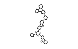 c1ccc(-c2nc(-c3ccc4c(c3)oc3ccccc34)nc(-c3ccc4c(c3)oc3cc(-c5cccc(-c6ccc7c8ccccc8c8ccccc8c7c6)c5)ccc34)n2)cc1